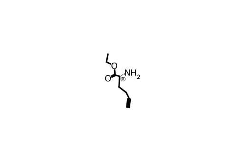 C#CCC[C@@H](N)C(=O)OCC